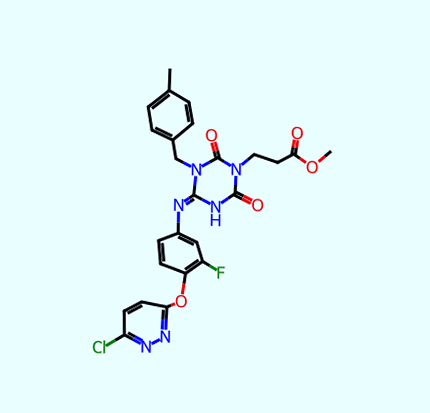 COC(=O)CCn1c(=O)[nH]/c(=N\c2ccc(Oc3ccc(Cl)nn3)c(F)c2)n(Cc2ccc(C)cc2)c1=O